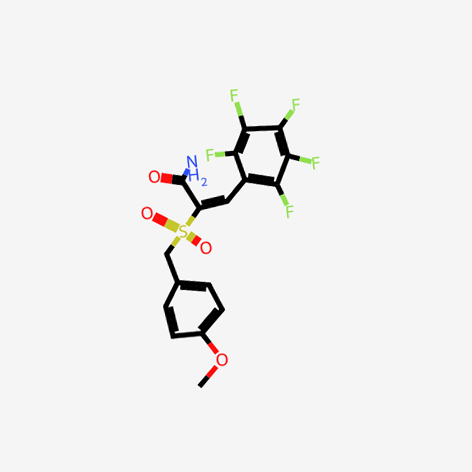 COc1ccc(CS(=O)(=O)C(=Cc2c(F)c(F)c(F)c(F)c2F)C(N)=O)cc1